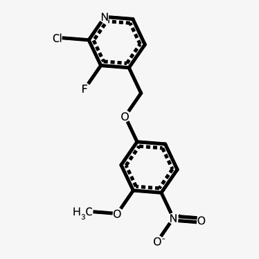 COc1cc(OCc2ccnc(Cl)c2F)ccc1[N+](=O)[O-]